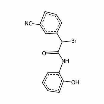 N#Cc1cccc(C(Br)C(=O)Nc2ccccc2O)c1